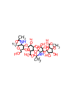 COC1C(C(=O)O)OC(OC2C(O)C(O)OC(OC3C(C(=O)O)OC(OC4C(O)C(CO)O[C@H](C)C4NC(C)=O)C(O)C3O)C2NC(C)=O)C(O)C1O